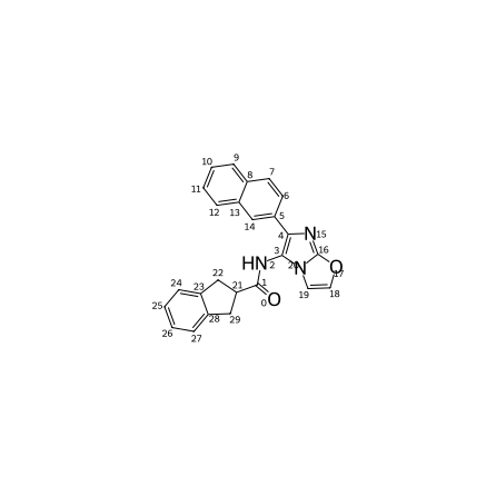 O=C(Nc1c(-c2ccc3ccccc3c2)nc2occn12)C1Cc2ccccc2C1